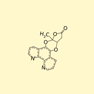 CC12OC(=O)CC1Oc1c(c3cccnc3c3ncccc13)O2